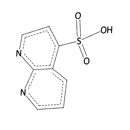 O=S(=O)(O)c1ccnc2ncccc12